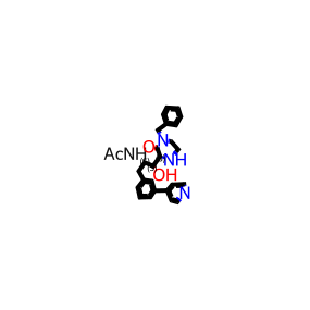 CC(=O)N[C@@H](Cc1cccc(-c2ccncc2)c1)[C@H](O)[C@@H]1NCCN(Cc2ccccc2)C1=O